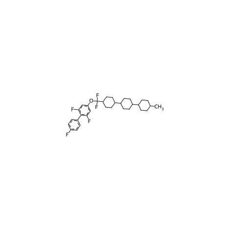 CC1CCC(C2CCC(C3CCC(C(F)(F)Oc4cc(F)c(-c5ccc(F)cc5)c(F)c4)CC3)CC2)CC1